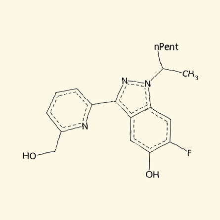 CCCCCC(C)n1nc(-c2cccc(CO)n2)c2cc(O)c(F)cc21